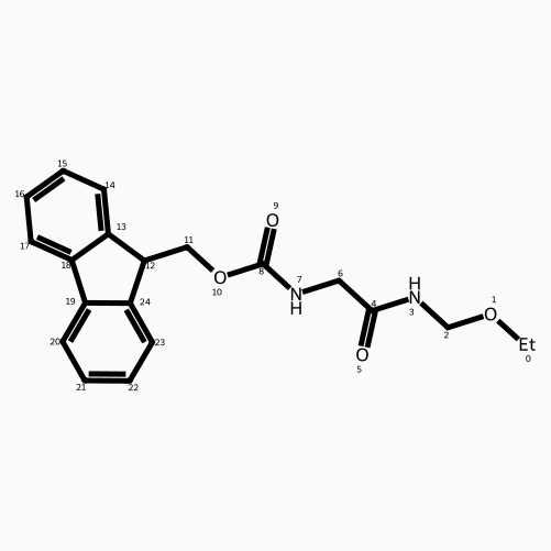 CCOCNC(=O)CNC(=O)OCC1c2ccccc2-c2ccccc21